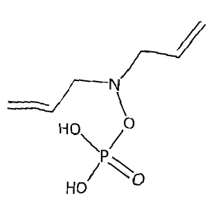 C=CCN(CC=C)OP(=O)(O)O